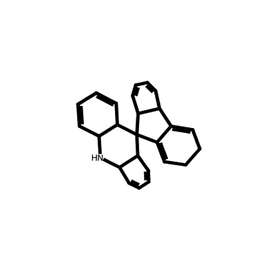 C1=CC2NC3C=CC=CC3C3(C4=CCCC=C4C4C=CC=CC43)C2C=C1